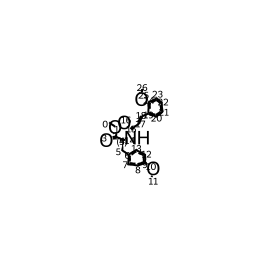 COC(=O)[C@H](Cc1ccc(OC)cc1)NC(=O)C=Cc1ccccc1OC